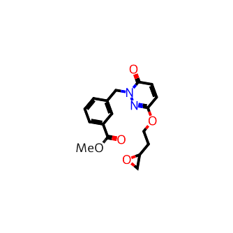 COC(=O)c1cccc(Cn2nc(OCCC3CO3)ccc2=O)c1